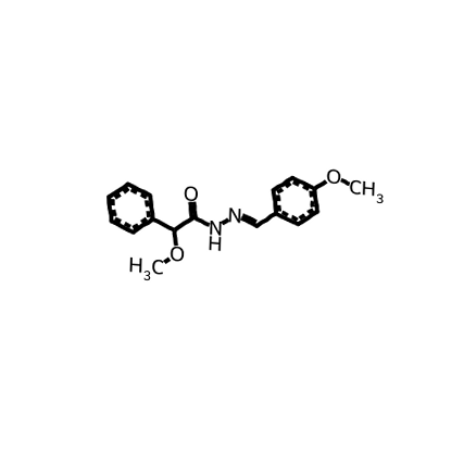 COc1ccc(/C=N/NC(=O)C(OC)c2ccccc2)cc1